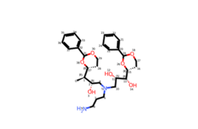 C[C@H]([C@@H](O)CN(CCCN)C[C@H](O)[C@@H](O)[C@H]1CCOC(c2ccccc2)O1)[C@H]1CCOC(c2ccccc2)O1